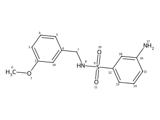 COc1cccc(CNS(=O)(=O)c2cccc(N)c2)c1